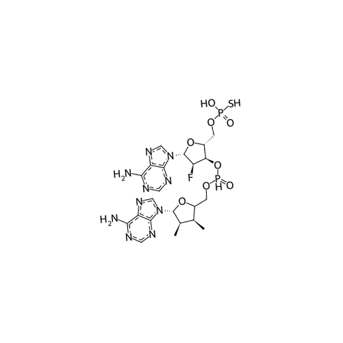 C[C@@H]1[C@H](C)C(CO[PH](=O)O[C@H]2[C@@H](F)[C@H](n3cnc4c(N)ncnc43)O[C@@H]2COP(=O)(O)S)O[C@H]1n1cnc2c(N)ncnc21